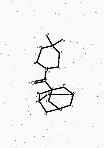 CC1(C)CCN(C(=O)C23CC4CC(CC(C4)C2)C3)CC1